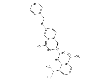 CC(C)c1cccc(C(C)C)c1NC(=O)[C@H](Cc1ccc(OCc2ccccc2)cc1)NC(=O)O